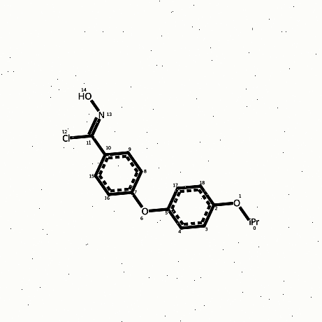 CC(C)Oc1ccc(Oc2ccc(C(Cl)=NO)cc2)cc1